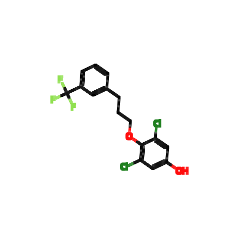 Oc1cc(Cl)c(OCCCc2cccc(C(F)(F)F)c2)c(Cl)c1